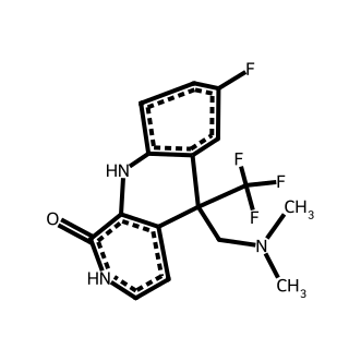 CN(C)CC1(C(F)(F)F)c2cc(F)ccc2Nc2c1cc[nH]c2=O